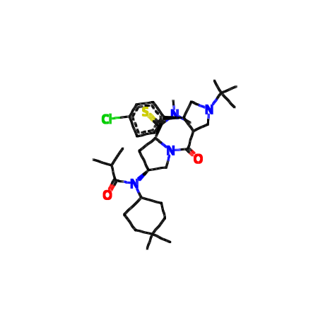 CC(C)C(=O)N(C1CCC(C)(C)CC1)[C@H]1C[C@@H](C(=S)N(C)C)N(C(=O)C2CN(C(C)(C)C)C[C@@H]2c2ccc(Cl)cc2)C1